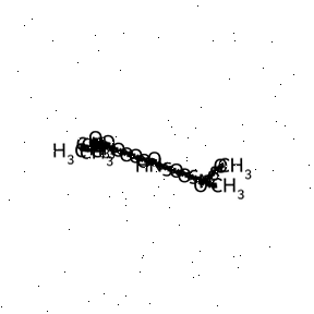 CCCCN(CCCSCCOC)C(=O)CCSCCOCCOCCSCCCNC(=O)CCOCCOCCOCCOCCNC(=O)CCN1C(=O)CC(CC(C)(C)C(C)C)C1=O